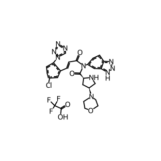 O=C(/C=C/c1cc(Cl)ccc1-n1cnnn1)N(C(=O)[C@@H]1C[C@H](N2CCOCC2)CN1)c1ccc2nn[nH]c2c1.O=C(O)C(F)(F)F